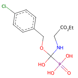 CCOC(=O)CNC(O)(OCc1ccc(Cl)cc1)P(=O)(O)O